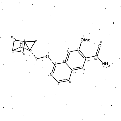 COc1cc2c(OC[C@@]34C[C@]35CC(N4)O5)nccc2cc1C(N)=O